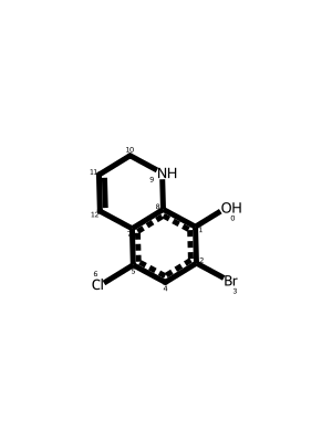 Oc1c(Br)cc(Cl)c2c1NCC=C2